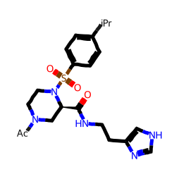 CC(=O)N1CCN(S(=O)(=O)c2ccc(C(C)C)cc2)[C@@H](C(=O)NCCc2c[nH]cn2)C1